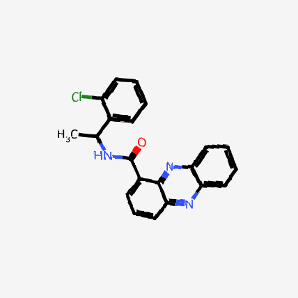 CC(NC(=O)c1cccc2nc3ccccc3nc12)c1ccccc1Cl